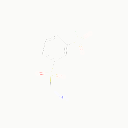 N[CH]S(=O)(=O)c1cccc(S(=O)(=O)Cl)c1